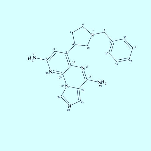 Nc1cc(C2CCN(Cc3ccccc3)C2)c2nc(N)c3cncn3c2n1